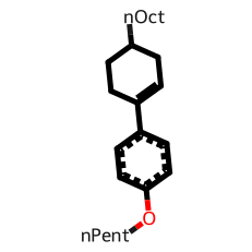 CCCCCCCCC1CC=C(c2ccc(OCCCCC)cc2)CC1